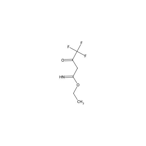 CCOC(=N)CC(=O)C(F)(F)F